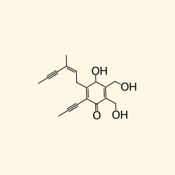 CC#CC1=C(C/C=C(/C)C#CC)C(O)C(CO)=C(CO)C1=O